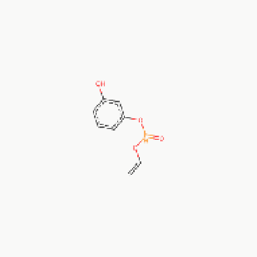 C=CO[PH](=O)Oc1cccc(O)c1